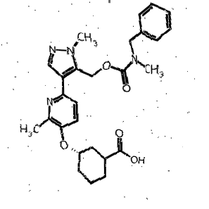 Cc1nc(-c2cnn(C)c2COC(=O)N(C)Cc2ccccc2)ccc1O[C@H]1CCCC(C(=O)O)C1